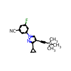 C[Si](C)(C)C#Cc1cn(-c2cc(F)cc(C#N)c2)nc1C1CC1